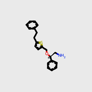 NC[C@H](OCc1ccc(CCc2ccccc2)s1)c1ccccc1